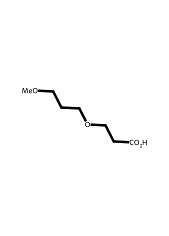 COCCCOCCC(=O)O